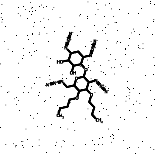 CCCCOC1C(CN=[N+]=[N-])OC(OC2C(N=[N+]=[N-])CC(N=[N+]=[N-])C(O)C2O)C(N=[N+]=[N-])C1OCCCC